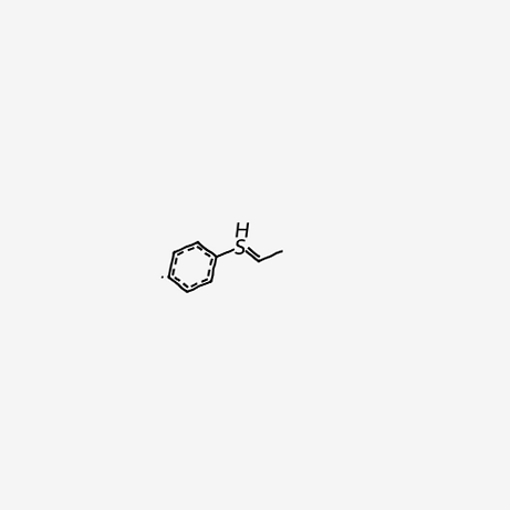 CC=[SH]c1cc[c]cc1